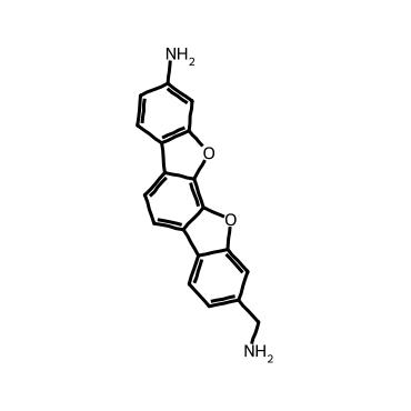 NCc1ccc2c(c1)oc1c2ccc2c3ccc(N)cc3oc21